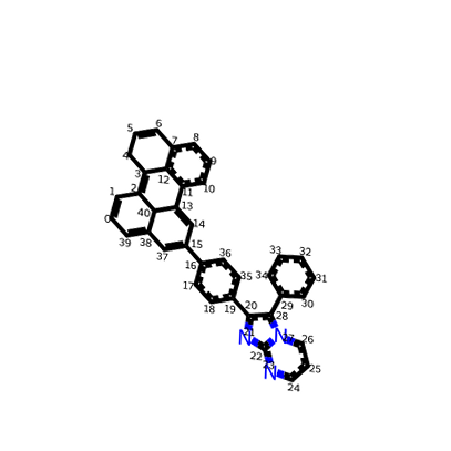 C1=CC2=C3CC=Cc4cccc(c43)C3=CC(c4ccc(-c5nc6ncccn6c5-c5ccccc5)cc4)=CC(=C1)C32